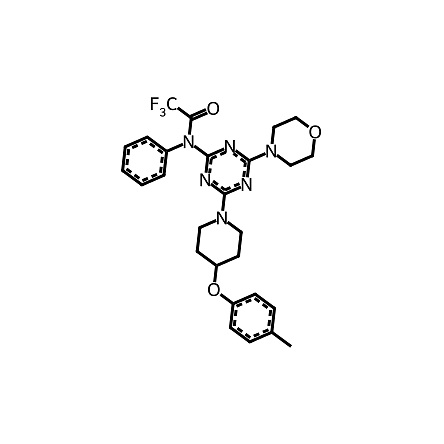 Cc1ccc(OC2CCN(c3nc(N4CCOCC4)nc(N(C(=O)C(F)(F)F)c4ccccc4)n3)CC2)cc1